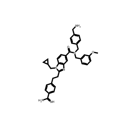 COc1cccc(CN(Cc2ccc(CN)cc2)C(=O)c2ccc3c(c2)nc(CCc2ccc(C(=N)N)cc2)n3CC2CC2)c1